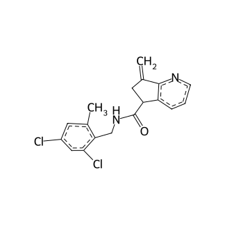 C=C1CC(C(=O)NCc2c(C)cc(Cl)cc2Cl)c2cccnc21